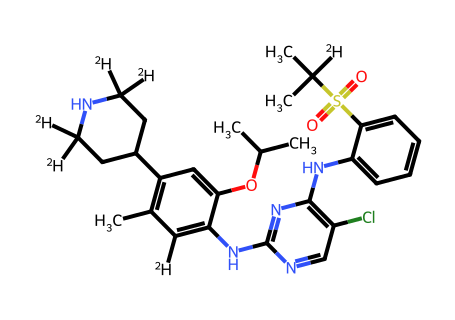 [2H]c1c(C)c(C2CC([2H])([2H])NC([2H])([2H])C2)cc(OC(C)C)c1Nc1ncc(Cl)c(Nc2ccccc2S(=O)(=O)C([2H])(C)C)n1